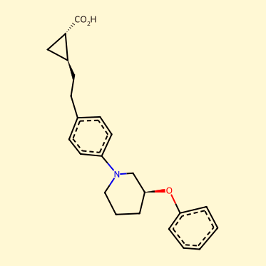 O=C(O)[C@H]1C[C@@H]1CCc1ccc(N2CCC[C@H](Oc3ccccc3)C2)cc1